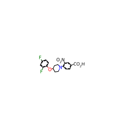 O=C(O)c1ccc(N2CCC(Oc3ccc(F)cc3F)CC2)c([N+](=O)[O-])c1